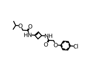 CC(C)OCC(=O)NC1=CC(NC(=O)COc2ccc(Cl)cc2)C1